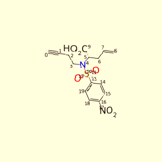 C#CCCN([C@@H](CC=C)C(=O)O)S(=O)(=O)c1ccc([N+](=O)[O-])cc1